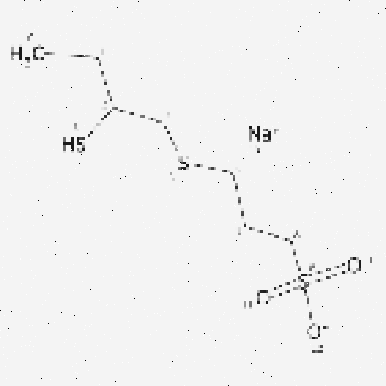 CCC(S)CSCCCS(=O)(=O)[O-].[Na+]